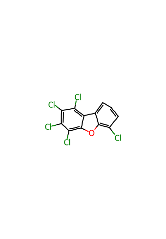 Clc1c(Cl)c(Cl)c2c(oc3c(Cl)cccc32)c1Cl